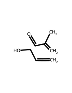 C=C(C)C=O.C=CCO